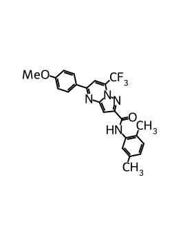 COc1ccc(-c2cc(C(F)(F)F)n3nc(C(=O)Nc4cc(C)ccc4C)cc3n2)cc1